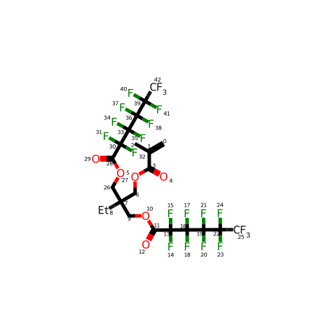 C=C(C)C(=O)OCC(CC)(COC(=O)C(F)(F)C(F)(F)C(F)(F)C(F)(F)C(F)(F)F)COC(=O)C(F)(F)C(F)(F)C(F)(F)C(F)(F)C(F)(F)F